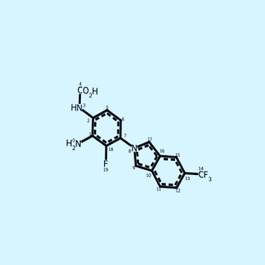 Nc1c(NC(=O)O)ccc(-n2cc3ccc(C(F)(F)F)cc3c2)c1F